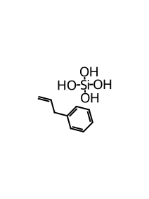 C=CCc1ccccc1.O[Si](O)(O)O